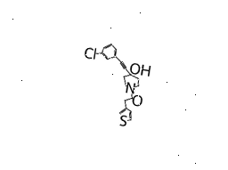 O=C(Cc1ccsc1)N1CCC(O)(C#Cc2cccc(Cl)c2)CC1